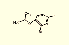 CC(C)Oc1ccc(I)nc1Br